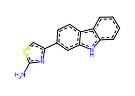 Nc1nc(-c2ccc3c(c2)[nH]c2ccccc23)cs1